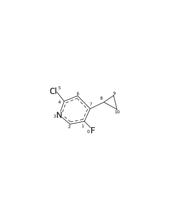 Fc1cnc(Cl)cc1C1CC1